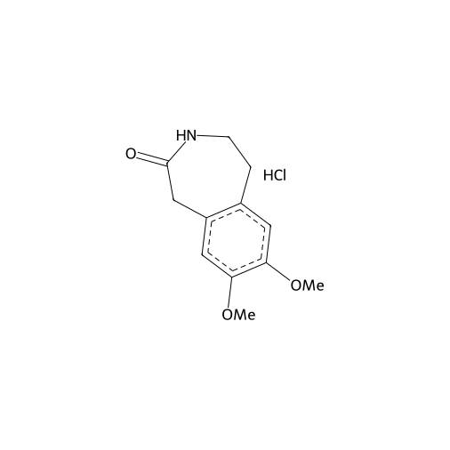 COc1cc2c(cc1OC)CC(=O)NCC2.Cl